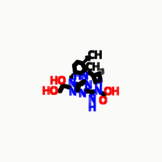 C#C[C@H]1CC[C@H](Cn2c(C(O)CO)nc3nc(C(=N)NC(=O)O)nc(N[C@H](C)C4CCC4)c32)CC1